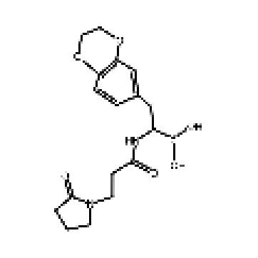 O=C(CCN1CCCC1=O)NC(Cc1ccc2c(c1)OCCO2)B(O)O